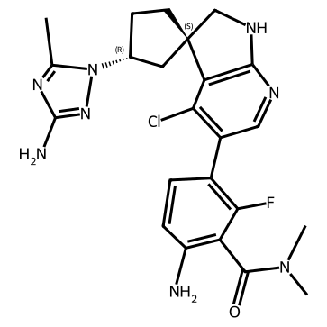 Cc1nc(N)nn1[C@@H]1CC[C@]2(CNc3ncc(-c4ccc(N)c(C(=O)N(C)C)c4F)c(Cl)c32)C1